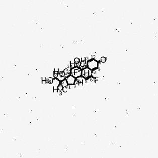 C[C@H]1C[C@H]2[C@@H]3C=C(F)C4=CC(=O)C=C[C@]4(C)[C@@]3(F)[C@@H](O)C[C@]2(C)[C@@]1(O)C(=O)CO